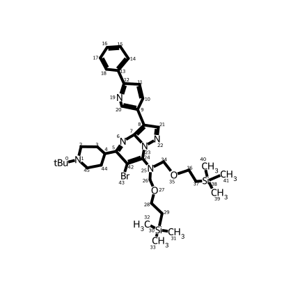 CC(C)(C)N1CCC(c2nc3c(-c4ccc(-c5ccccc5)nc4)cnn3c(N(COCC[Si](C)(C)C)COCC[Si](C)(C)C)c2Br)CC1